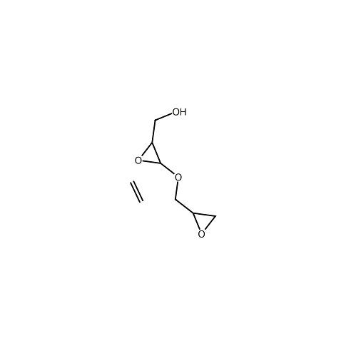 C=C.OCC1OC1OCC1CO1